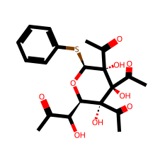 CC(=O)C(O)[C@H]1O[C@@H](Sc2ccccc2)[C@@](O)(C(C)=O)[C@](O)(C(C)=O)[C@@]1(O)C(C)=O